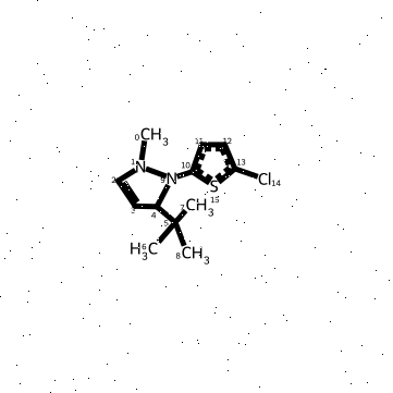 CN1[C]=CC(C(C)(C)C)N1c1ccc(Cl)s1